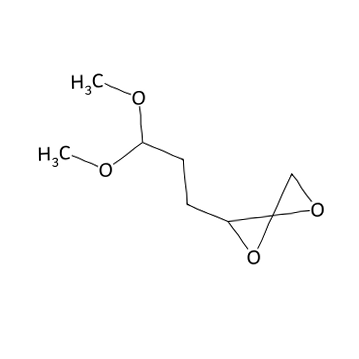 COC(CCC1OC12CO2)OC